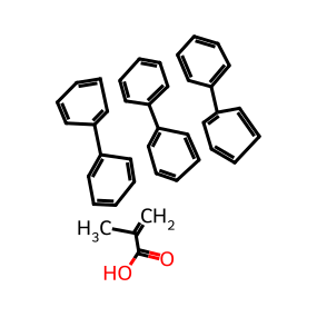 C=C(C)C(=O)O.c1ccc(-c2ccccc2)cc1.c1ccc(-c2ccccc2)cc1.c1ccc(-c2ccccc2)cc1